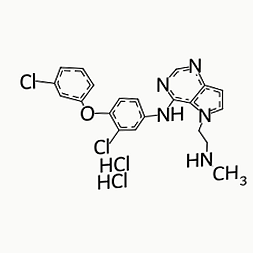 CNCCn1ccc2ncnc(Nc3ccc(Oc4cccc(Cl)c4)c(Cl)c3)c21.Cl.Cl